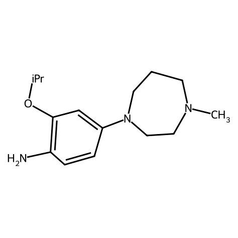 CC(C)Oc1cc(N2CCCN(C)CC2)ccc1N